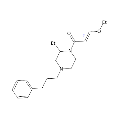 CCO/C=C/C(=O)N1CCN(CCCc2ccccc2)CC1CC